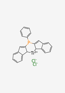 C1=C2[CH]([Ti+2][CH]3C(=Cc4ccccc43)P2c2ccccc2)c2ccccc21.[Cl-].[Cl-]